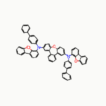 c1ccc(-c2ccc(N(c3ccc4c(c3)-c3ccccc3-c3cc(N(c5ccc(-c6ccccc6)cc5)c5cccc6c5oc5ccccc56)ccc3O4)c3cccc4c3oc3ccccc34)cc2)cc1